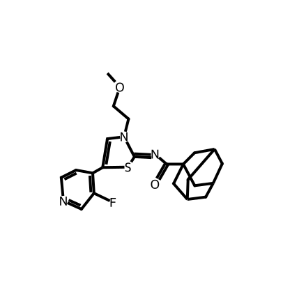 COCCn1cc(-c2ccncc2F)sc1=NC(=O)C12CC3CC(CC(C3)C1)C2